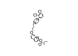 CCC(C)C(=O)Oc1ccc2ccc(OCCCCN3CCN(c4cccc(Cl)c4Cl)CC3)cc2n1